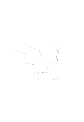 C=CC1=C(/C=C\C)C2=CC=C(I)CC2C1(C)C